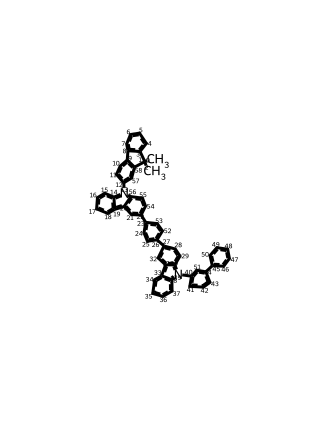 CC1(C)c2ccccc2-c2ccc(-n3c4ccccc4c4cc(-c5ccc(-c6ccc7c(c6)c6ccccc6n7-c6cccc(-c7ccccc7)c6)cc5)ccc43)cc21